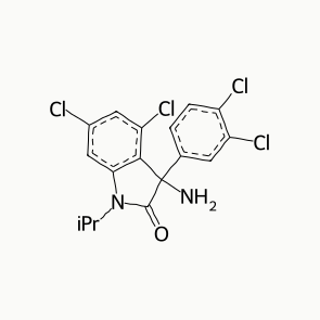 CC(C)N1C(=O)C(N)(c2ccc(Cl)c(Cl)c2)c2c(Cl)cc(Cl)cc21